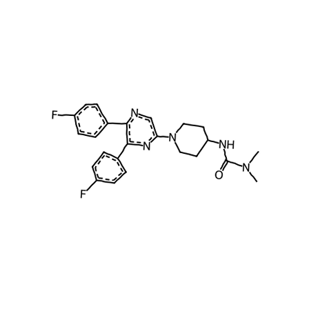 CN(C)C(=O)NC1CCN(c2cnc(-c3ccc(F)cc3)c(-c3ccc(F)cc3)n2)CC1